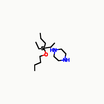 C1CNCCN1.CCCCO[Si](CC)(CC)CCC